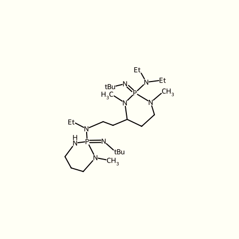 CCN(CCC1CCN(C)P(=NC(C)(C)C)(N(CC)CC)N1C)P1(=NC(C)(C)C)NCCCN1C